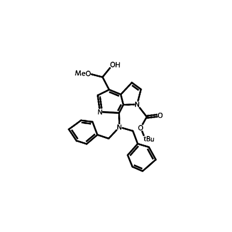 COC(O)c1cnc(N(Cc2ccccc2)Cc2ccccc2)c2c1ccn2C(=O)OC(C)(C)C